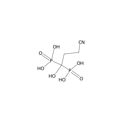 N#CCCC(O)(P(=O)(O)O)P(=O)(O)O